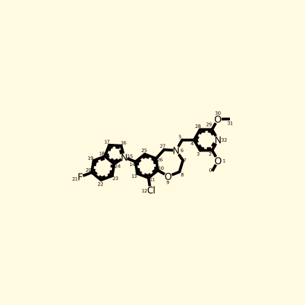 COc1cc(CN2CCOc3c(Cl)cc(-n4ccc5cc(F)ccc54)cc3C2)cc(OC)n1